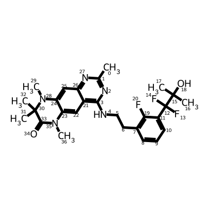 Cc1nc(NCCc2cccc(C(F)(F)C(C)(C)O)c2F)c2cc3c(cc2n1)N(C)C(C)(C)C(=O)N3C